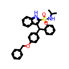 CC(C)NS(=O)(=O)c1[nH]c2ccccc2c1C(c1ccccc1)c1ccc(OCc2ccccc2)cc1